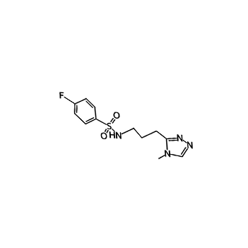 Cn1cnnc1CCCNS(=O)(=O)c1ccc(F)cc1